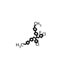 CCCc1ccc(-c2ccc(CC(c3ccc(Cl)cc3)C(Cc3ccc(Cl)c(F)c3)c3ccc(-c4ccc(CCC)cc4)cc3)cc2)cc1